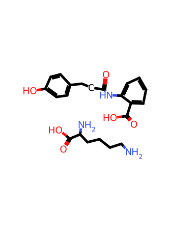 NCCCCC(N)C(=O)O.O=C(CCc1ccc(O)cc1)Nc1ccccc1C(=O)O